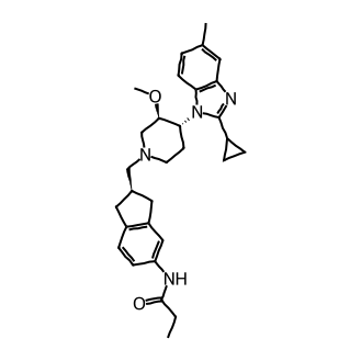 CCC(=O)Nc1ccc2c(c1)C[C@H](CN1CC[C@@H](n3c(C4CC4)nc4cc(C)ccc43)[C@H](OC)C1)C2